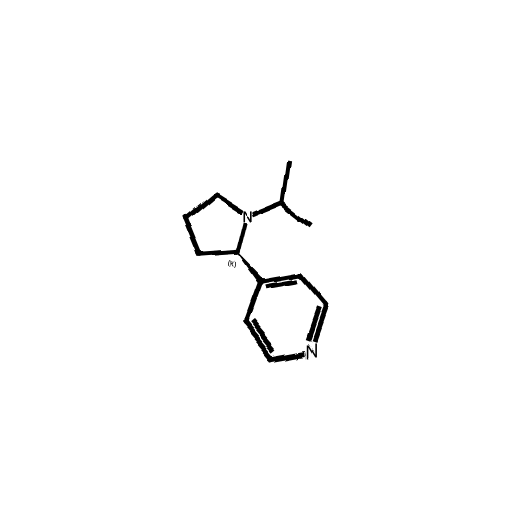 CC(C)N1CCC[C@@H]1c1ccncc1